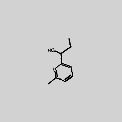 CCC(O)c1cccc(C)n1